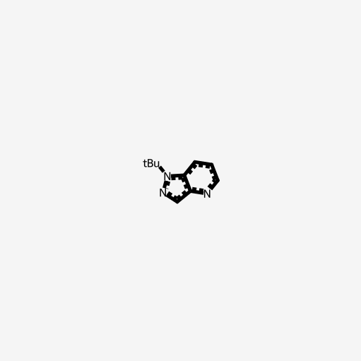 CC(C)(C)n1ncc2ncccc21